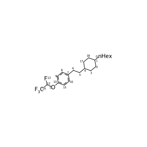 CCCCCCC1CCC(CCc2ccc(OC(F)C(F)(F)F)cc2)CC1